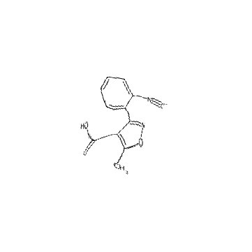 [C-]#[N+]c1ccccc1-c1noc(C)c1C(=O)O